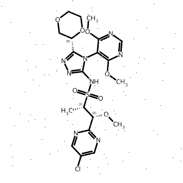 COc1ncnc(OC)c1-n1c(NS(=O)(=O)[C@@H](C)[C@H](OC)c2ncc(Cl)cn2)nnc1[C@@H]1COCCO1